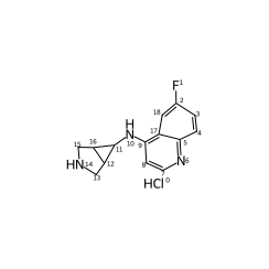 Cl.Fc1ccc2nccc(NC3C4CNCC43)c2c1